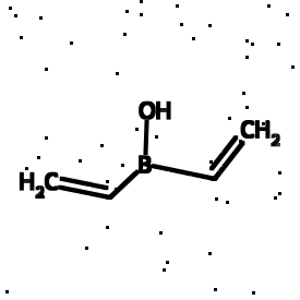 C=CB(O)C=C